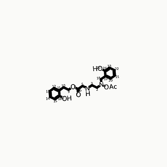 CC(=O)ON(CCNCC(=O)OCCc1ccccc1O)Cc1ccccc1O